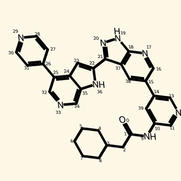 O=C(CC1CCCCC1)Nc1cncc(-c2cnc3[nH]nc(-c4cc5c(-c6ccncc6)cncc5[nH]4)c3c2)c1